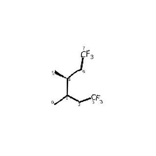 CC(CC(F)(F)F)[C@@H](C)CC(F)(F)F